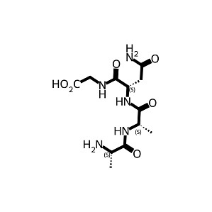 C[C@H](N)C(=O)N[C@@H](C)C(=O)N[C@@H](CC(N)=O)C(=O)NCC(=O)O